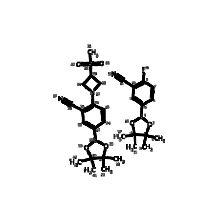 CC1(C)OB(c2ccc(F)c(C#N)c2)OC1(C)C.CC1(C)OB(c2ccc(N3CC(S(C)(=O)=O)C3)c(C#N)c2)OC1(C)C